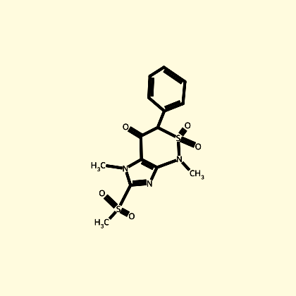 CN1c2nc(S(C)(=O)=O)n(C)c2C(=O)C(c2ccccc2)S1(=O)=O